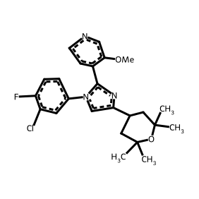 COc1cnccc1-c1nc(C2CC(C)(C)OC(C)(C)C2)cn1-c1ccc(F)c(Cl)c1